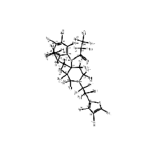 [2H]c1sc(C([2H])([2H])C([2H])([2H])N2C([2H])([2H])C([2H])([2H])C(N(C(=O)C([2H])([2H])C([2H])([2H])[2H])c3c([2H])c([2H])c([2H])c([2H])c3[2H])(C([2H])([2H])OC([2H])([2H])[2H])C([2H])([2H])C2([2H])[2H])c([2H])c1[2H]